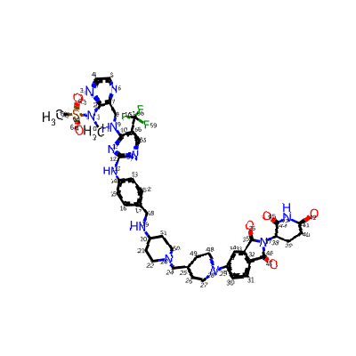 CN(c1nccnc1CNc1nc(Nc2ccc(CNC3CCN(CC4CCN(c5ccc6c(c5)C(=O)N(C5CCC(=O)NC5=O)C6=O)CC4)CC3)cc2)ncc1C(F)(F)F)S(C)(=O)=O